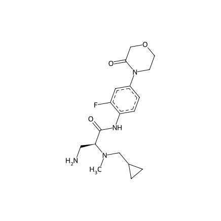 CN(CC1CC1)[C@@H](CN)C(=O)Nc1ccc(N2CCOCC2=O)cc1F